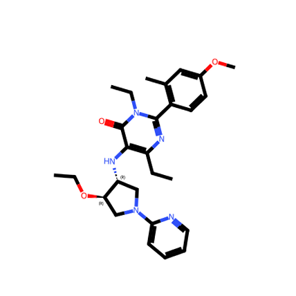 CCO[C@@H]1CN(c2ccccn2)C[C@H]1Nc1c(CC)nc(-c2ccc(OC)cc2C)n(CC)c1=O